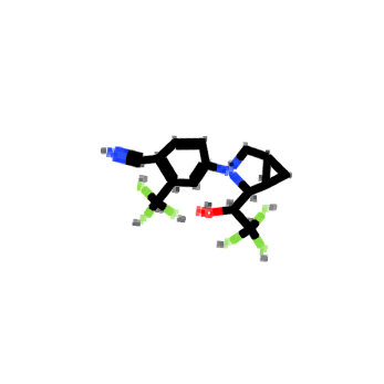 N#Cc1ccc(N2CC3CC3C2C(O)C(F)(F)F)cc1C(F)(F)F